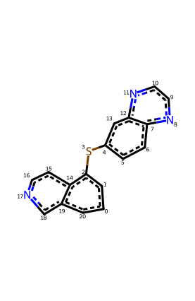 c1cc(Sc2ccc3nccnc3c2)c2ccncc2c1